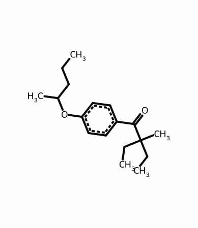 CCCC(C)Oc1ccc(C(=O)C(C)(CC)CC)cc1